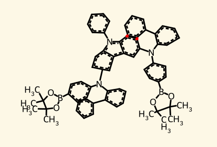 CC1(C)OB(c2ccc(N(c3ccc4c(c3)c3cc(N(c5ccc(B6OC(C)(C)C(C)(C)O6)cc5)c5ccccc5-c5ccccc5)ccc3n4-c3ccccc3)c3ccccc3-c3ccccc3)cc2)OC1(C)C